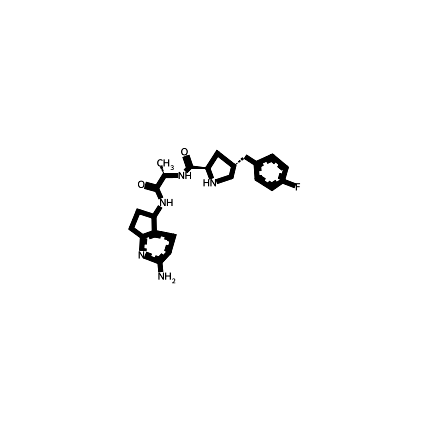 C[C@H](NC(=O)[C@H]1C[C@H](Cc2ccc(F)cc2)CN1)C(=O)NC1CCc2nc(N)ccc21